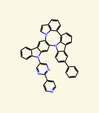 c1ccc(-c2ccc3c(c2)c2cccc4c5cccc6ccn(c7cc8c9ccccc9n(-c9cnc(-c%10ccncc%10)nc9)c8cc7n3c42)c65)cc1